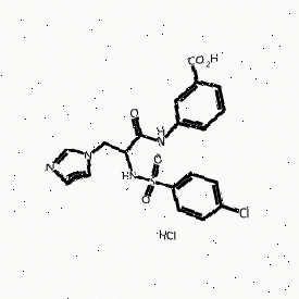 Cl.O=C(O)c1cccc(NC(=O)C(Cn2ccnc2)NS(=O)(=O)c2ccc(Cl)cc2)c1